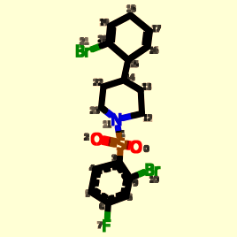 O=S(=O)(c1ccc(F)cc1Br)N1CCC(C2C=CCC=C2Br)CC1